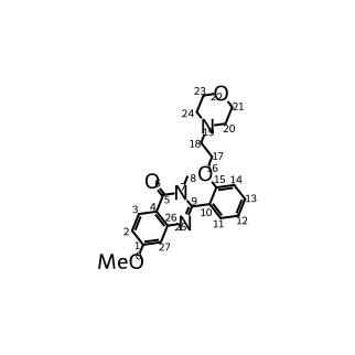 COc1ccc2c(=O)n(C)c(-c3ccccc3OCCN3CCOCC3)nc2c1